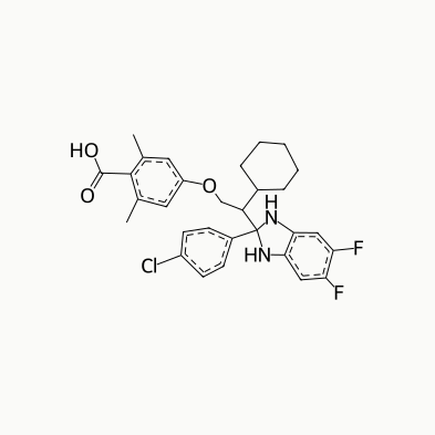 Cc1cc(OCC(C2CCCCC2)C2(c3ccc(Cl)cc3)Nc3cc(F)c(F)cc3N2)cc(C)c1C(=O)O